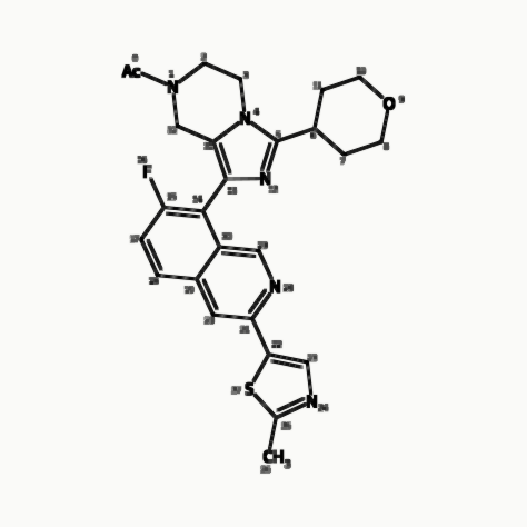 CC(=O)N1CCn2c(C3CCOCC3)nc(-c3c(F)ccc4cc(-c5cnc(C)s5)ncc34)c2C1